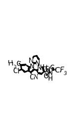 Cc1cc2c(cc1Cl)c(C#N)c(-c1ccc(S(=O)(=O)N[C@@H](C)C(F)(F)F)cn1)n2-c1ncccn1